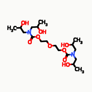 CC(O)CN(CC(C)O)C(=O)OCCOCCOC(=O)N(CC(C)O)CC(C)O